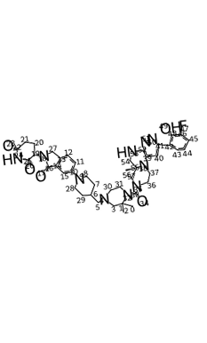 CC1(C)CN(CC2CCN(c3ccc4c(c3)C(=O)N([C@@H]3CCC(=O)NC3=O)C4)CC2)CCN1C(=O)N1CCN2c3cc(-c4cccc(F)c4O)nnc3NC[C@@]2(C)C1